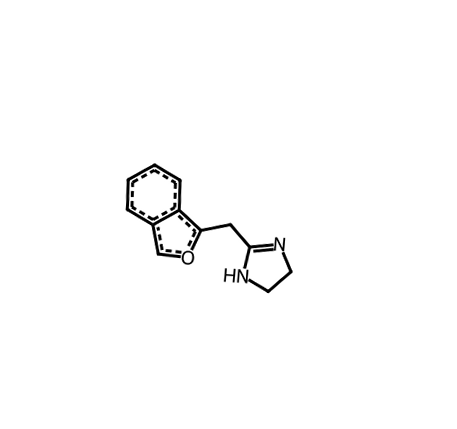 c1ccc2c(CC3=NCCN3)occ2c1